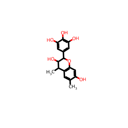 Cc1cc2c(cc1O)OC(c1cc(O)c(O)c(O)c1)C(O)C2C